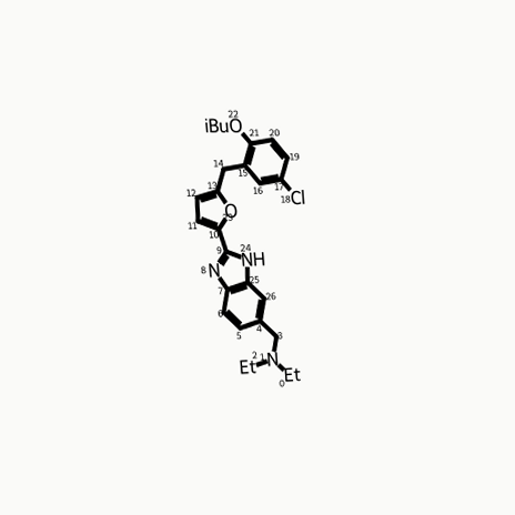 CCN(CC)Cc1ccc2nc(-c3ccc(Cc4cc(Cl)ccc4OCC(C)C)o3)[nH]c2c1